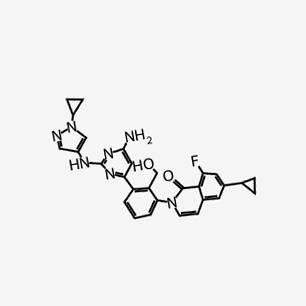 Nc1cc(-c2cccc(-n3ccc4cc(C5CC5)cc(F)c4c3=O)c2CO)nc(Nc2cnn(C3CC3)c2)n1